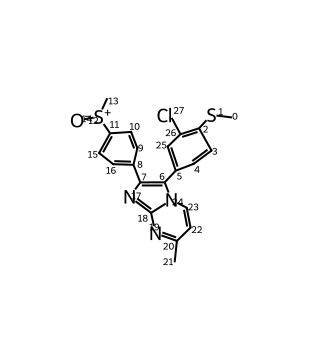 CSc1ccc(-c2c(-c3ccc([S+](C)[O-])cc3)nc3nc(C)ccn23)cc1Cl